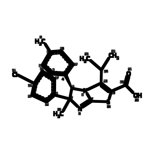 Cc1ccc([C@H]2N3C(=NC2(C)c2ccc(Cl)cc2)SC(C(=O)O)=C3C(C)C)cc1